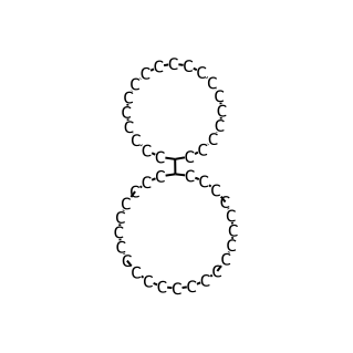 C1CCCCCCCCCCCC(C2CCCCCCCCCCCCCCCCCCC2)CCCCCCCCCCC1